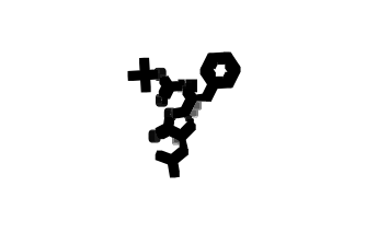 CC(C)C[C@@H]1C[C@@H]([C@H](Cc2ccccc2)NC(=O)OC(C)(C)C)OC1=O